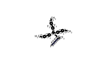 C=CC(=O)Oc1ccc(C(c2ccc(OCC(COCCCOC(F)(/C(F)=C(F)/C(F)=C(F)/C(F)=C(F)/C(F)=C(\F)CF)C(F)(F)C(F)(F)F)(COc3ccc(C(c4ccc(OC(=O)C=C)cc4)(C(F)(F)F)C(F)(F)F)cc3)COc3ccc(C(c4ccc(OC(=O)C=C)cc4)(C(F)(F)F)C(F)(F)F)cc3)cc2)(C(F)(F)F)C(F)(F)F)cc1